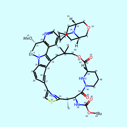 CCn1c(-c2cc([C@H]3C[C@H]4COC[C@@H](C3)N4C3CC3)cnc2[C@H](C)OC)c2c3cc(ccc31)-c1csc(n1)[C@@H](C)[C@H](NC(=O)OC(C)(C)C)C(=O)N1CCC[C@H](N1)C(=O)OCC(C)(C)C2